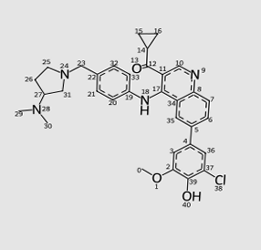 COc1cc(-c2ccc3ncc(C(=O)C4CC4)c(Nc4ccc(CN5CCC(N(C)C)C5)cc4)c3c2)cc(Cl)c1O